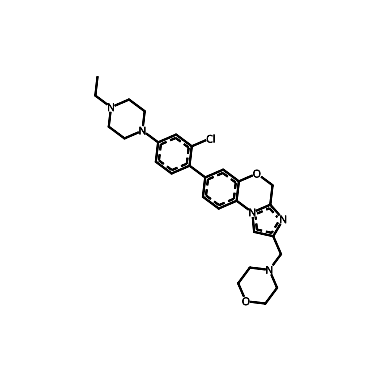 CCN1CCN(c2ccc(-c3ccc4c(c3)OCc3nc(CN5CCOCC5)cn3-4)c(Cl)c2)CC1